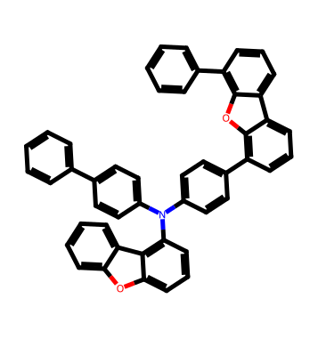 c1ccc(-c2ccc(N(c3ccc(-c4cccc5c4oc4c(-c6ccccc6)cccc45)cc3)c3cccc4oc5ccccc5c34)cc2)cc1